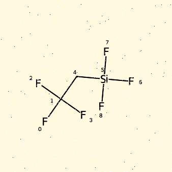 FC(F)(F)C[Si](F)(F)F